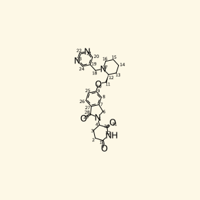 O=C1CCC(N2Cc3cc(OC[C@@H]4CCCCN4Cc4cncnc4)ccc3C2=O)C(=O)N1